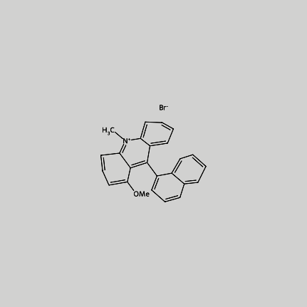 COc1cccc2c1c(-c1cccc3ccccc13)c1ccccc1[n+]2C.[Br-]